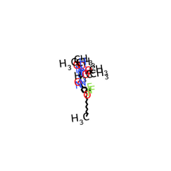 CCCCCCCCCOc1ccc(-c2noc(C3CN(/C(=N/C(=O)OC(C)(C)C)NC(=O)OC(C)(C)C)C3)n2)cc1C(F)(F)F